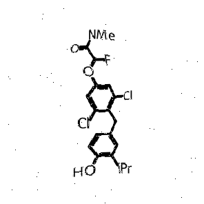 CNC(=O)C(F)Oc1cc(Cl)c(Cc2ccc(O)c(C(C)C)c2)c(Cl)c1